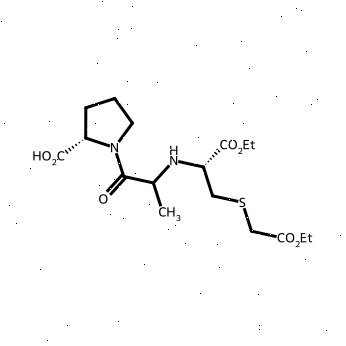 CCOC(=O)CSC[C@H](NC(C)C(=O)N1CCC[C@H]1C(=O)O)C(=O)OCC